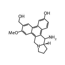 COc1cc2c3c(c4ccc(O)cc4c2cc1CO)C(N)[C@@H]1CCCN1C3